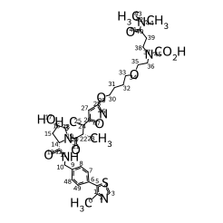 Cc1ncsc1-c1ccc(CNC(=O)[C@@H]2C[C@@H](O)CN2C(=O)[C@@H](C)C(C)c2cc(OCCCCOCCN(CCC(=O)N(C)C)C(=O)O)no2)cc1